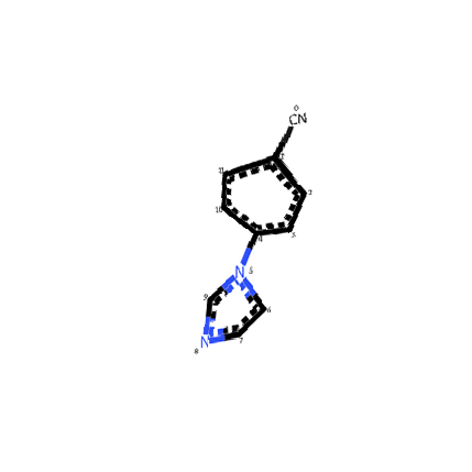 N#Cc1ccc(-n2ccnc2)cc1